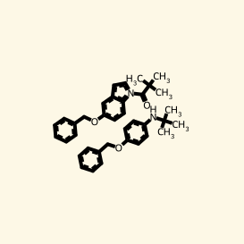 CC(C)(C)C(=O)n1ccc2cc(OCc3ccccc3)ccc21.CC(C)(C)Nc1ccc(OCc2ccccc2)cc1